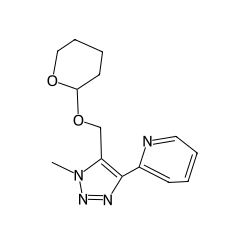 Cn1nnc(-c2ccccn2)c1COC1CCCCO1